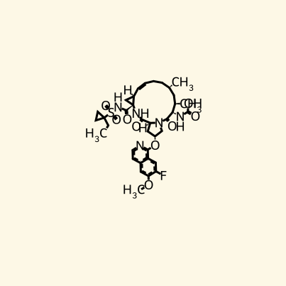 CCC1(S(=O)(=O)NC(=O)[C@@]23C[C@H]2/C=C\CC[C@H](C)C[C@@H](C)[C@H](NC(=O)O)C(=O)N2C[C@H](Oc4nccc5cc(OC)c(F)cc45)C[C@H]2C(=O)N3)CC1